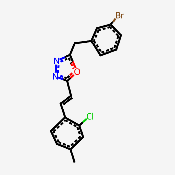 Cc1ccc(/C=C/c2nnc(Cc3cccc(Br)c3)o2)c(Cl)c1